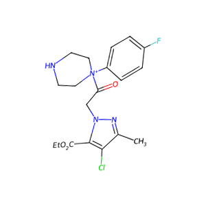 CCOC(=O)c1c(Cl)c(C)nn1CC(=O)[N+]1(c2ccc(F)cc2)CCNCC1